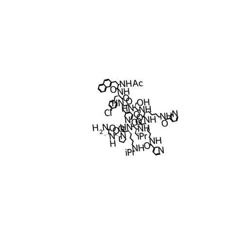 CC(=O)N[C@H](Cc1ccc2ccccc2c1)C(=O)N[C@H](Cc1ccc(Cl)cc1)C(=O)N[C@H](Cc1cccnc1)C(=O)N[C@@H](CO)C(=O)N[C@@H](CCCCNC(=O)c1cccnc1)C(=O)N[C@H](CCCCNC(=O)c1cccnc1)C(=O)N[C@@H](CC(C)C)C(=O)N[C@@H](CCCCNC(C)C)C(=O)N1CCC[C@@H]1C(=O)N[C@H](C)C(N)=O